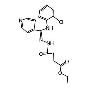 CCOC(=O)CCC(=O)N/N=C(\Nc1ccccc1Cl)c1ccncc1